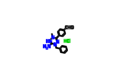 CN(C)C(=NN(Cc1ccccc1)C(=N)N)c1ccc(C=O)cc1.Cl